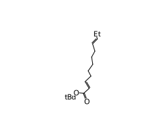 CCC=CCCCCCC=CC(=O)OC(C)(C)C